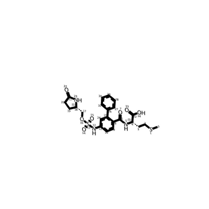 CSCC[C@H](NC(=O)c1ccc(NS(=O)(=O)OC[C@@H]2CCC(=O)N2)cc1-c1ccccc1)C(=O)O